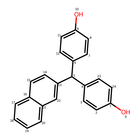 Oc1ccc(C(c2ccc(O)cc2)c2ccc3ccccc3c2)cc1